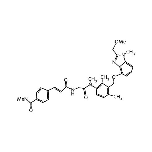 CNC(=O)c1ccc(C=CC(=O)NCC(=O)N(C)c2ccc(C)c(COc3cccc4c3nc(COC)n4C)c2C)cc1